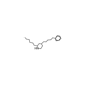 [CH2]CCCCCC1CC(CCCCCc2ccccc2)CCN1